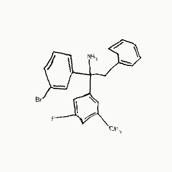 NC(Cc1ccccc1)(c1cccc(Br)c1)c1cc(F)cc(C(F)(F)F)c1